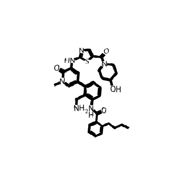 CCCCc1ccccc1C(=O)Nc1cccc(-c2cc(Nc3ncc(C(=O)N4CCC(O)CC4)s3)c(=O)n(C)c2)c1CN